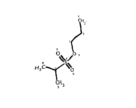 [CH2]CCOS(=O)(=O)C(C)C